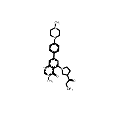 CCC(=O)C1CCN(c2nc(-c3ccc(N4CCN(C)CC4)cc3)cc3ncn(C)c(=O)c23)C1